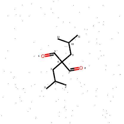 CC(C)CC([C]=O)([C]=O)CC(C)C